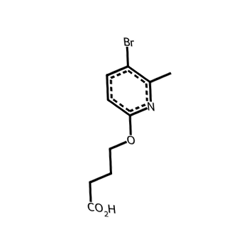 Cc1nc(OCCCC(=O)O)ccc1Br